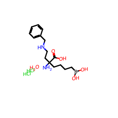 Cl.Cl.NC(CCCCB(O)O)(CCNCc1ccccc1)C(=O)O.O